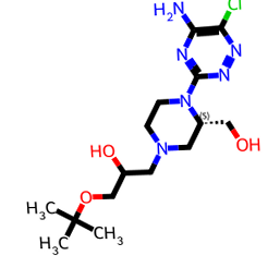 CC(C)(C)OCC(O)CN1CCN(c2nnc(Cl)c(N)n2)[C@H](CO)C1